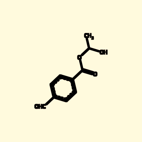 CC(O)OC(=O)c1ccc(C=O)cc1